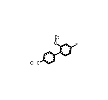 CCOc1cc(F)ccc1-c1ccc(C=O)cc1